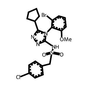 COc1cccc(Br)c1-n1c(NS(=O)(=O)Cc2ccc(Cl)cc2)nnc1C1CCCC1